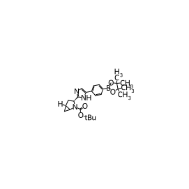 CC(C)(C)OC(=O)N1C2C[C@@H]2C[C@H]1c1ncc(-c2ccc(B3OC(C)(C)C(C)(C)O3)cc2)[nH]1